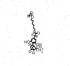 CC1(C)[C@H]2C[C@H]1[C@H](c1c(O)cc(C(F)(F)C(=O)OCCCCCCO[N+](=O)[O-])cc1O)CC2=O